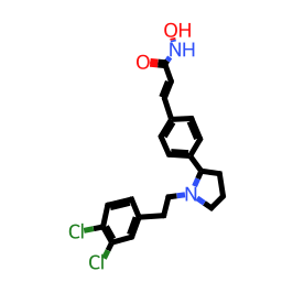 O=C(C=Cc1ccc(C2CCCN2CCc2ccc(Cl)c(Cl)c2)cc1)NO